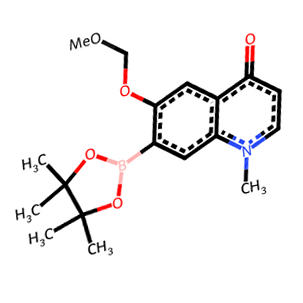 COCOc1cc2c(=O)ccn(C)c2cc1B1OC(C)(C)C(C)(C)O1